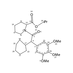 COc1cc(C(C(=O)N2CCCCC2C(=O)OC(C)C)C2CCCCC2)cc(OC)c1OC